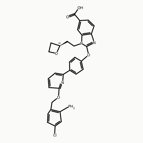 O=C(O)c1ccc2nc(Oc3ccc(-c4cccc(OCc5ccc(Cl)cc5P)n4)cc3)n(CC[C@@H]3CCO3)c2c1